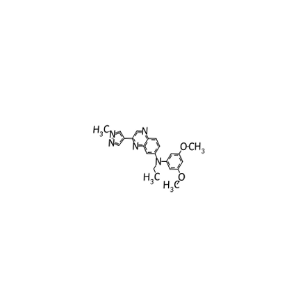 CCN(c1cc(OC)cc(OC)c1)c1ccc2ncc(-c3cnn(C)c3)nc2c1